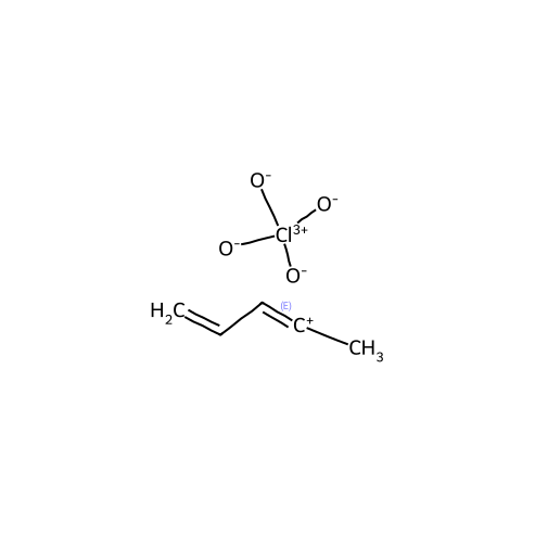 C=C/C=[C+]/C.[O-][Cl+3]([O-])([O-])[O-]